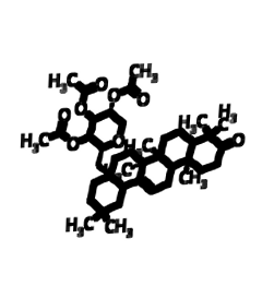 CC(=O)OC1C(OC(C)=O)[C@H](OC(C)=O)CO[C@H]1C[C@]12CCC(C)(C)CC1C1=CCC3[C@@]4(C)CCC(=O)C(C)(C)C4CC[C@@]3(C)[C@]1(C)CC2